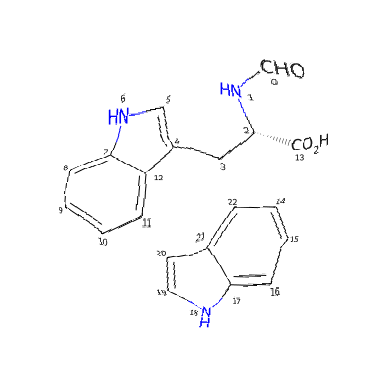 O=CN[C@@H](Cc1c[nH]c2ccccc12)C(=O)O.c1ccc2[nH]ccc2c1